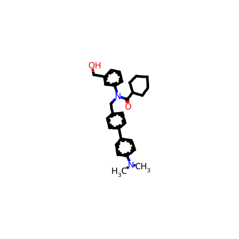 CN(C)c1ccc(-c2ccc(CN(C(=O)C3CCCCC3)c3cccc(CO)c3)cc2)cc1